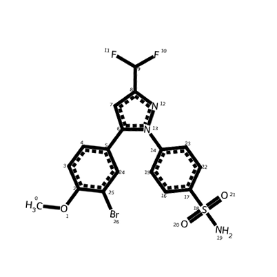 COc1ccc(-c2cc(C(F)F)nn2-c2ccc(S(N)(=O)=O)cc2)cc1Br